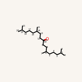 CC(C)CCCC(C)CCC(=O)CCC(C)CCCC(C)C